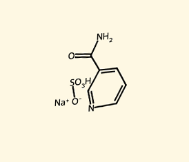 NC(=O)c1cccnc1.O=S(=O)([O-])O.[Na+]